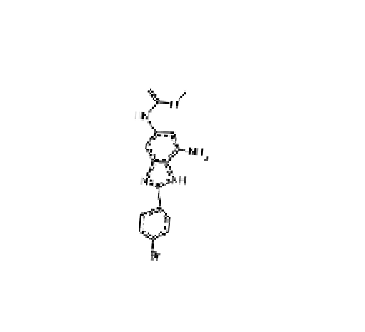 C=C(Nc1cc(N)c2[nH]c(-c3ccc(Br)cc3)nc2c1)OC